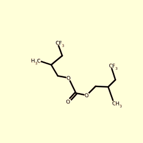 CC(COC(=O)OCC(C)CC(F)(F)F)CC(F)(F)F